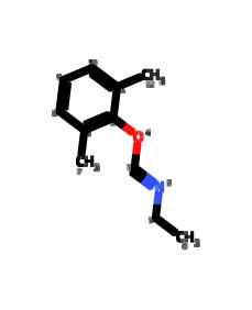 CC/N=C/Oc1c(C)cccc1C